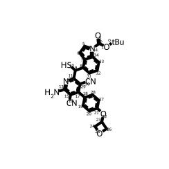 CC(C)(C)OC(=O)n1ccc2c(C(S)c3nc(N)c(C#N)c(-c4ccc(OC5COC5)cc4)c3C#N)cccc21